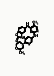 Cc1cnc(Nc2ccc(N3CCO[C@H](C)C3)nc2)nc1Nc1ccc2oc(=O)[nH]c2c1